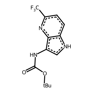 CC(C)(C)OC(=O)Nc1c[nH]c2ccc(C(F)(F)F)nc12